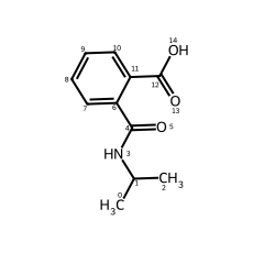 CC(C)NC(=O)c1ccccc1C(=O)O